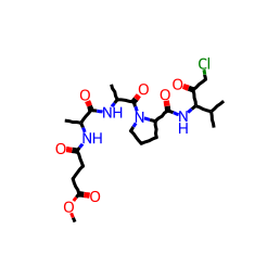 COC(=O)CCC(=O)NC(C)C(=O)NC(C)C(=O)N1CCCC1C(=O)NC(C(=O)CCl)C(C)C